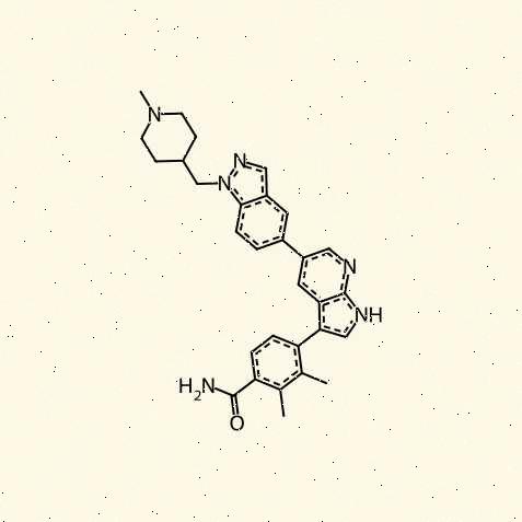 Cc1c(C(N)=O)ccc(-c2c[nH]c3ncc(-c4ccc5c(cnn5CC5CCN(C)CC5)c4)cc23)c1C